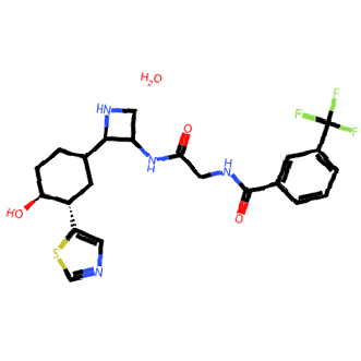 O.O=C(CNC(=O)c1cccc(C(F)(F)F)c1)NC1CNC1C1CC[C@H](O)[C@@H](c2cncs2)C1